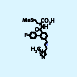 CSCC[C@H](NC(=O)c1ccc(/C=C/Cc2cncn2C)cc1-c1ccc(F)cc1)C(=O)O